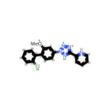 COc1cc(-n2nnc(-c3ccccn3)n2)ccc1-c1ccccc1Cl